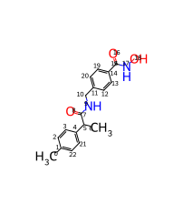 Cc1ccc(C(C)C(=O)NCc2ccc(C(=O)NO)cc2)cc1